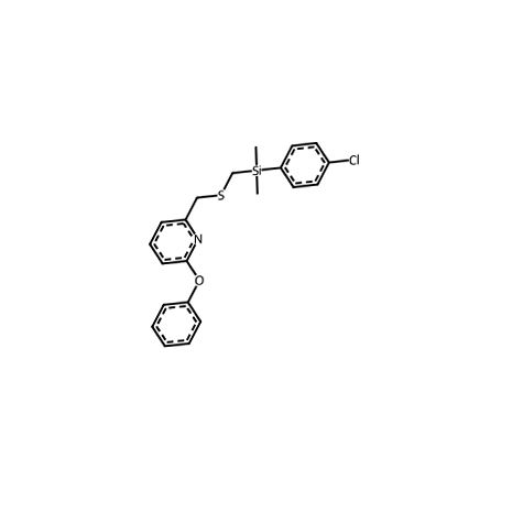 C[Si](C)(CSCc1cccc(Oc2ccccc2)n1)c1ccc(Cl)cc1